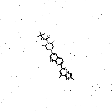 Cc1cn2nc(-c3ccc4cc(N5C[C@@H](C)N(C(=O)OC(C)(C)C)[C@H](C)C5)cnc4n3)cc(C)c2n1